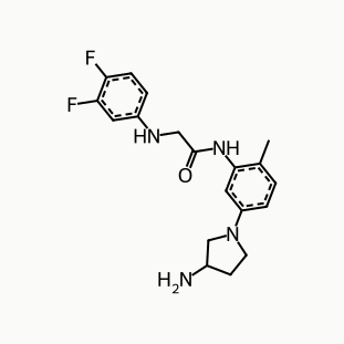 Cc1ccc(N2CCC(N)C2)cc1NC(=O)CNc1ccc(F)c(F)c1